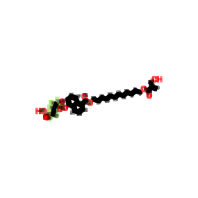 C=C(CO)C(=O)OCCCCCCCCCCCCOC(=O)c1cccc2c(OS(=O)(=O)C(F)(F)C(F)(F)C(F)(F)S(=O)(=O)O)cccc12